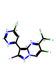 Fc1cn2nc(I)c(-c3cc(Cl)ncn3)c2nc1C(F)F